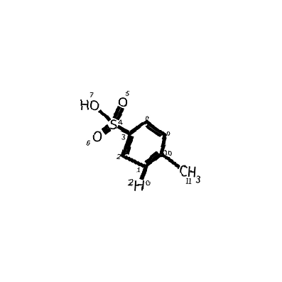 [2H]c1cc(S(=O)(=O)O)ccc1C